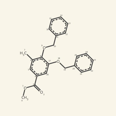 COC(=O)c1cc(C)c(OCc2ccccc2)c(OCc2ccccc2)c1